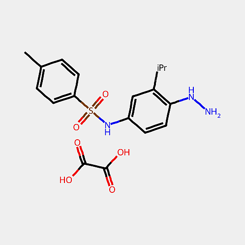 Cc1ccc(S(=O)(=O)Nc2ccc(NN)c(C(C)C)c2)cc1.O=C(O)C(=O)O